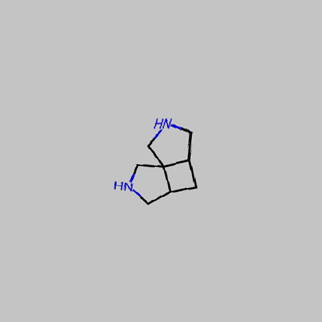 C1NCC23CNCC2CC13